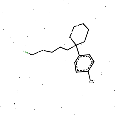 N#Cc1ccc(C2(CCCCCF)CCCCC2)cc1